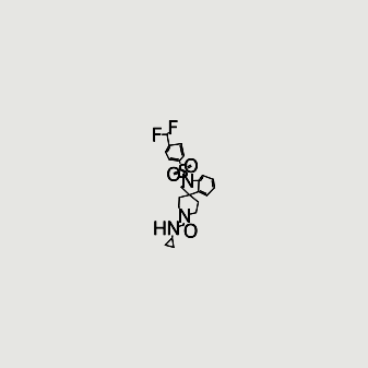 O=C(NC1CC1)N1CCC2(CC1)CN(S(=O)(=O)c1ccc(C(F)F)cc1)c1ccccc12